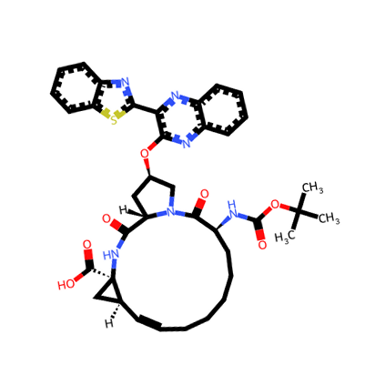 CC(C)(C)OC(=O)N[C@H]1CCCCC/C=C\[C@H]2C[C@@]2(C(=O)O)NC(=O)[C@@H]2C[C@@H](Oc3nc4ccccc4nc3-c3nc4ccccc4s3)CN2C1=O